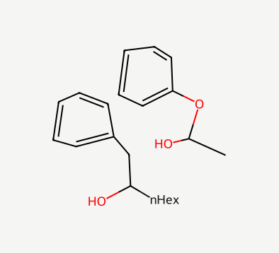 CC(O)Oc1ccccc1.CCCCCCC(O)Cc1ccccc1